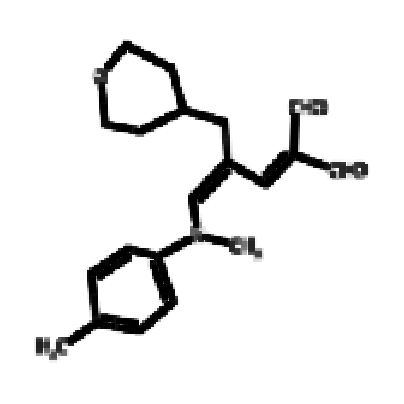 Cc1ccc(N(C)/C=C(\C=C(C=O)C=O)CC2CCOCC2)cc1